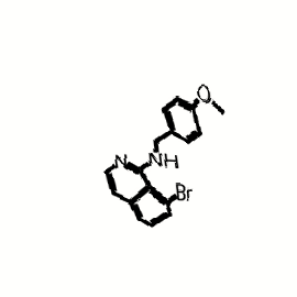 COc1ccc(CNc2nccc3cccc(Br)c23)cc1